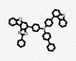 c1ccc(-c2ccc(N(c3ccc(-c4cc5oc6ccccc6c5c5nc(-c6ccccc6)oc45)cc3)c3ccc(-c4cccc5sc6ccccc6c45)cc3)cc2)cc1